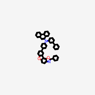 c1ccc(-c2cccc(N(c3ccc(-c4ccc5oc6ccc7nc(-c8ccccc8)oc7c6c5c4)cc3)c3cc4ccccc4c4ccccc34)c2)cc1